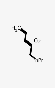 C=CC=CCCCC.[Cu]